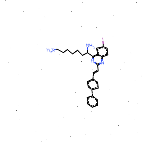 NCCCCCCC(N)c1nc(C=Cc2ccc(-c3ccccc3)cc2)nc2ccc(I)cc12